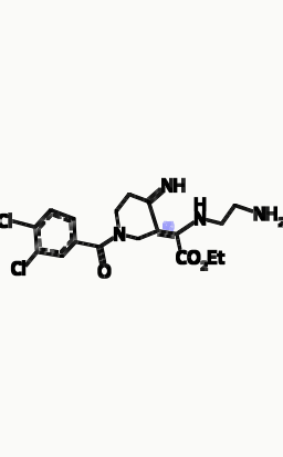 CCOC(=O)/C(NCCN)=C1\CN(C(=O)c2ccc(Cl)c(Cl)c2)CCC1=N